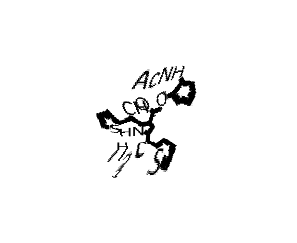 CC(=O)Nc1ccccc1OCC(=O)c1cc(C(C)c2cccs2)[nH]c1C(C)c1cccs1